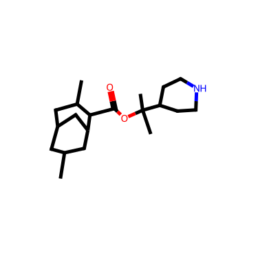 CC1CC2CC(C)C(C(=O)OC(C)(C)C3CCNCC3)C(C1)C2